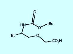 CCC(COCC(=O)O)NC(=O)OC(C)(C)C